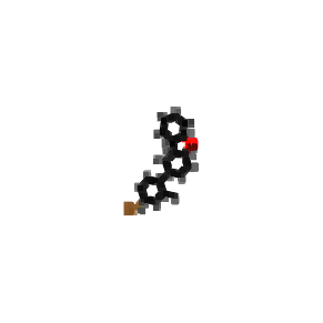 Cc1cc(Br)ccc1-c1ccc2oc3ccccc3c2c1